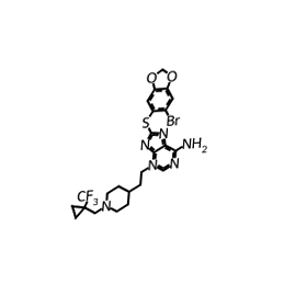 Nc1ncn(CCC2CCN(CC3(C(F)(F)F)CC3)CC2)c2nc(Sc3cc4c(cc3Br)OCO4)nc1-2